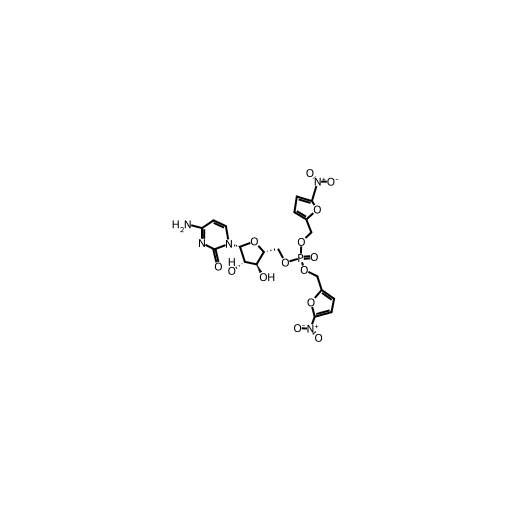 Nc1ccn([C@@H]2O[C@H](COP(=O)(OCc3ccc([N+](=O)[O-])o3)OCc3ccc([N+](=O)[O-])o3)[C@@H](O)[C@@H]2O)c(=O)n1